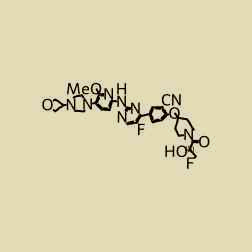 COc1nc(Nc2ncc(F)c(-c3ccc(OC4CCN(C(=O)[C@H](O)CF)CC4)c(C#N)c3)n2)ccc1N1CCN(C2COC2)CC1